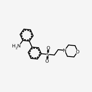 Nc1ccccc1-c1cccc(S(=O)(=O)CCN2CCOCC2)c1